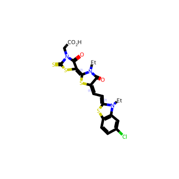 CCN1/C(=C/C=c2/s/c(=C3\SC(=S)N(CC(=O)O)C3=O)n(CC)c2=O)Sc2ccc(Cl)cc21